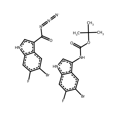 CC(C)(C)OC(=O)Nc1c[nH]c2cc(F)c(Br)cc12.[N-]=[N+]=NC(=O)c1c[nH]c2cc(F)c(Br)cc12